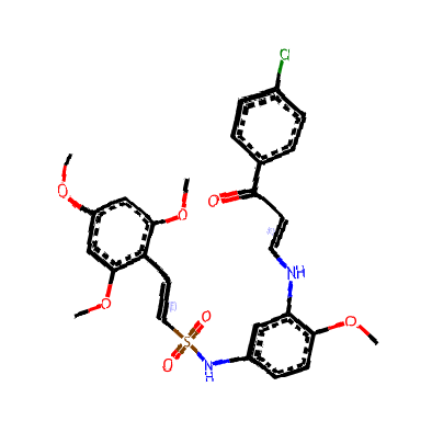 COc1cc(OC)c(/C=C/S(=O)(=O)Nc2ccc(OC)c(N/C=C/C(=O)c3ccc(Cl)cc3)c2)c(OC)c1